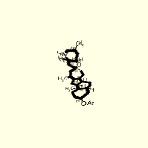 CC(=O)O[C@@H]1CC[C@@]2(C)[C@H](CC[C@H]3[C@@H]4CC[C@]5(CC(C)=C4C[C@@H]32)C[C@@H]2NC[C@@H](C)C[C@H]2O5)C1